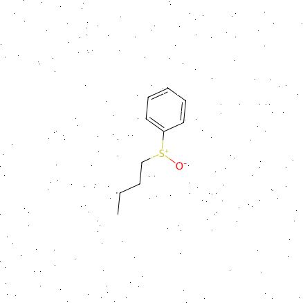 C[CH]CC[S+]([O-])c1ccccc1